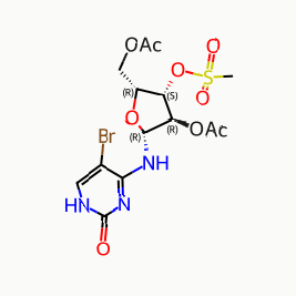 CC(=O)OC[C@H]1O[C@@H](Nc2nc(=O)[nH]cc2Br)[C@H](OC(C)=O)[C@H]1OS(C)(=O)=O